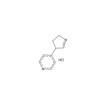 C1=NCCC1c1ccncc1.Cl